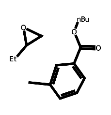 CCC1CO1.CCCCOC(=O)c1cccc(C)c1